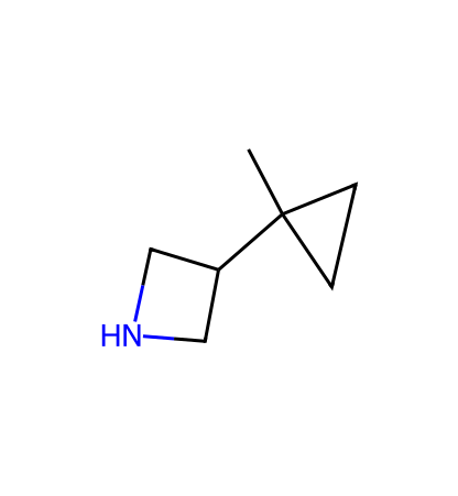 CC1(C2CNC2)CC1